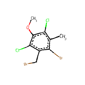 COc1c(Cl)c(C)c(Br)c(CBr)c1Cl